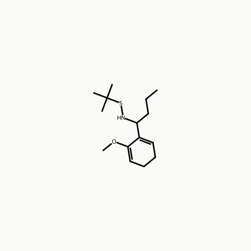 CCCC(NSC(C)(C)C)C1=CCCC=C1OC